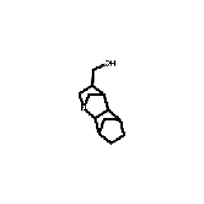 OCC1CN2CC1C1C3CCC(C3)C12